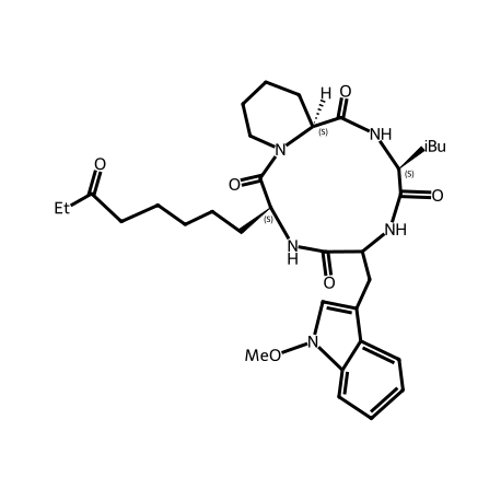 CCC(=O)CCCCC[C@@H]1NC(=O)C(Cc2cn(OC)c3ccccc23)NC(=O)[C@H](C(C)CC)NC(=O)[C@@H]2CCCCN2C1=O